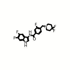 O=C(Nc1c[nH]c2cc(F)c(F)cc12)c1ccc(CN2CCC(F)(F)CC2)c(F)c1